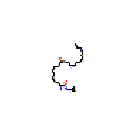 CC/C=C\C/C=C\C/C=C\CC1SC1C/C=C\C/C=C\CCC(=O)NC1CC1